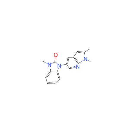 Cc1cc2cc(-n3c(=O)n(C)c4ccccc43)cnc2n1C